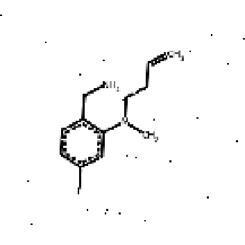 C=CCCN(C)c1cc(F)ccc1CN